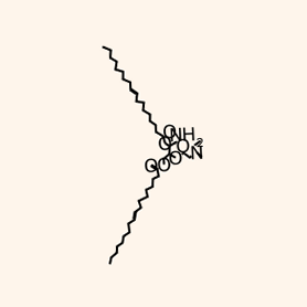 CCCCCCCCC=CCCCCCCCC(=O)OCC(OCCN(C)CC)C(OC(=O)CCCCCCCC=CCCCCCCCC)C(N)=O